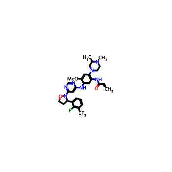 C=CC(=O)Nc1cc(Nc2cc(N3OCCC3c3cccc(C(F)(F)F)c3F)ncn2)c(OC)cc1N1CCN(C)C(C)C1